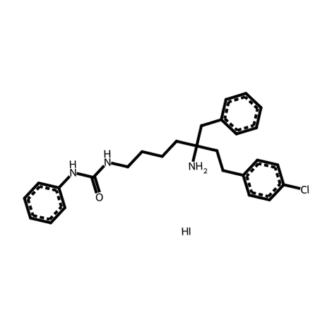 I.NC(CCCCNC(=O)Nc1ccccc1)(CCc1ccc(Cl)cc1)Cc1ccccc1